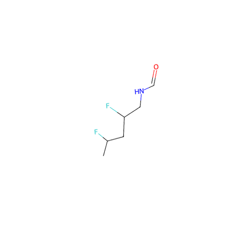 CC(F)CC(F)CNC=O